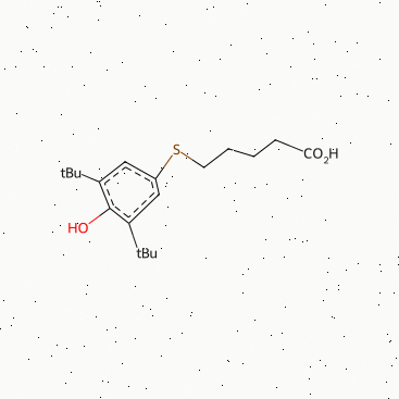 CC(C)(C)c1cc(SCCCCC(=O)O)cc(C(C)(C)C)c1O